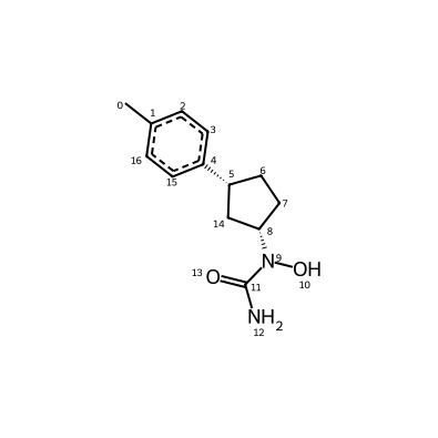 Cc1ccc([C@@H]2CC[C@H](N(O)C(N)=O)C2)cc1